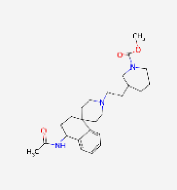 COC(=O)N1CCCC(CCN2CCC3(CCC(NC(C)=O)c4ccccc43)CC2)C1